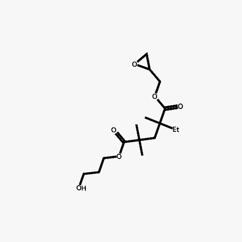 CCC(C)(CC(C)(C)C(=O)OCCCO)C(=O)OCC1CO1